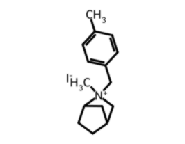 Cc1ccc(C[N+]2(C)CC3CCC2C3)cc1.[I-]